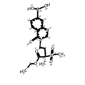 CCOC(=O)[C@@](C)(CCn1cnc2cc(B(O)O)ccc2c1=O)S(C)(=O)=O